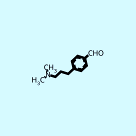 CN(C)CCCc1ccc(C=O)cc1